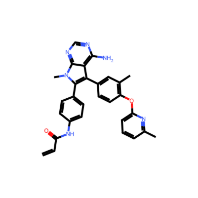 C=CC(=O)Nc1ccc(-c2c(-c3ccc(Oc4cccc(C)n4)c(C)c3)c3c(N)ncnc3n2C)cc1